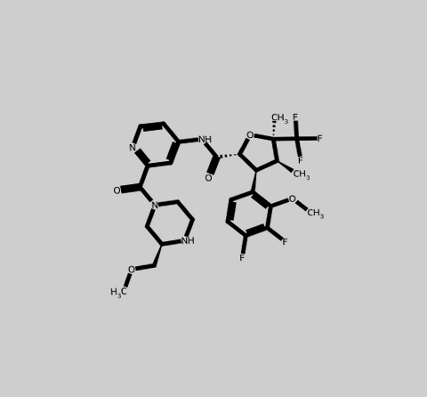 COC[C@H]1CN(C(=O)c2cc(NC(=O)[C@@H]3O[C@@](C)(C(F)(F)F)[C@@H](C)[C@H]3c3ccc(F)c(F)c3OC)ccn2)CCN1